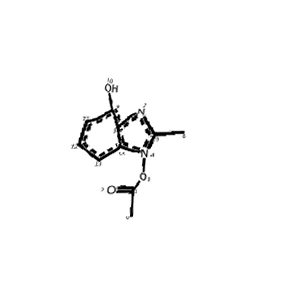 CC(=O)On1c(C)nc2c(O)cccc21